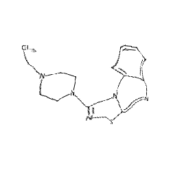 CCN1CCN(c2nsc3nc4ccccc4n23)CC1